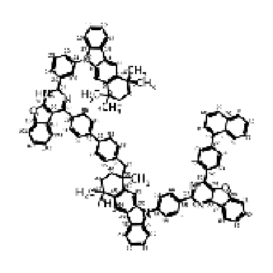 CC1(C)CCC(C)(C)c2cc3c(cc21)c1ccccc1n3-c1cccc(C2N=C(C3C=CC(C4C=CC(CC5(C)CCC(C)(C)c6cc7c8ccccc8n(-c8ccc(-c9nc(-c%10ccc(-c%11cccc%12ccccc%11%12)cc%10)c%10oc%11ccccc%11c%10n9)cc8)c7cc65)=CC4)=CC3)c3c(oc4ccccc34)N2)c1